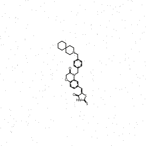 O=C1NC(=S)SC1=Cc1ccc2c(c1)N(Cc1ccc(CN3CCC4(CCCCC4)CC3)cc1)C(=O)CO2